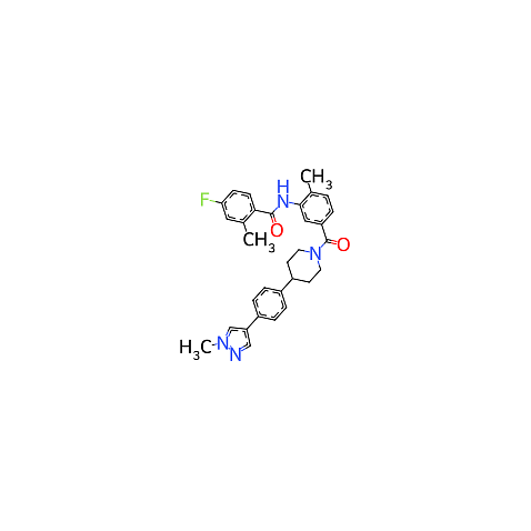 Cc1ccc(C(=O)N2CCC(c3ccc(-c4cnn(C)c4)cc3)CC2)cc1NC(=O)c1ccc(F)cc1C